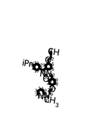 C#CCOc1ccc2c(c1)c(-c1ccc(C(C)C)cc1)nc(=O)n2Cc1ccc(OCCN(C)c2ccccn2)cc1